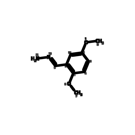 COc1ccc(OC)c(C=NN)c1